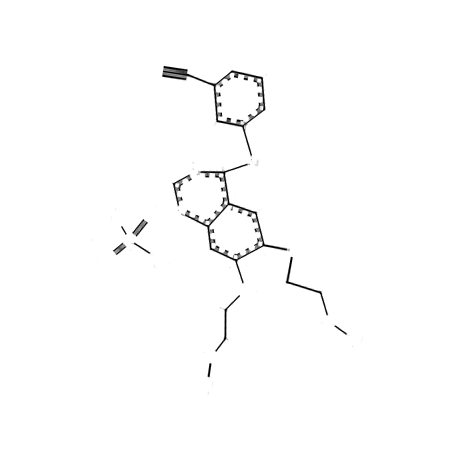 C#Cc1cccc(Nc2ncnc3cc(OCCOC)c(OCCOC)cc23)c1.CS(=O)(=O)O.O